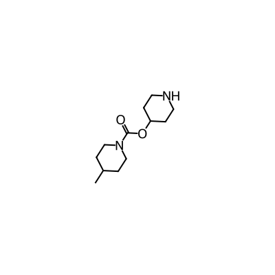 CC1CCN(C(=O)OC2CCNCC2)CC1